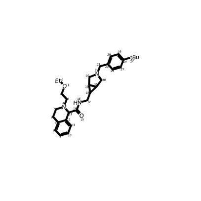 CCOCCN1CCc2cc[c]cc2C1C(=O)NCC1C2CN(Cc3ccc(C(C)(C)C)cc3)CC12